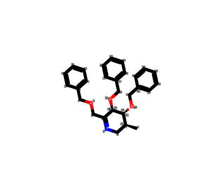 C[C@H]1CN=C(COCc2ccccc2)[C@@H](OCc2ccccc2)[C@@H]1OCc1ccccc1